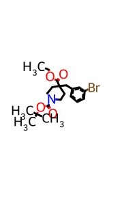 CCOC(=O)C1(Cc2cccc(Br)c2)CCN(C(=O)OC(C)(C)C)CC1